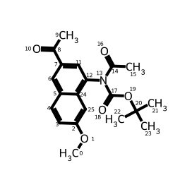 COc1ccc2cc(C(C)=O)cc(N(C(C)=O)C(=O)OC(C)(C)C)c2c1